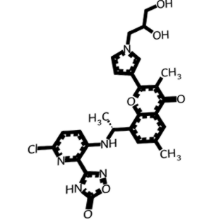 Cc1cc([C@@H](C)Nc2ccc(Cl)nc2-c2noc(=O)[nH]2)c2oc(-c3ccn(CC(O)CO)c3)c(C)c(=O)c2c1